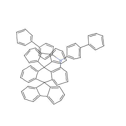 c1ccc(-c2ccc(N(c3ccc(-c4ccccc4)cc3)c3cccc4c3C3(c5ccccc5-c5ccccc53)c3ccccc3C43c4ccccc4-c4ccccc43)cc2)cc1